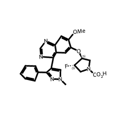 COc1cc2ncnc(-c3cn(C)nc3-c3ccccc3)c2cc1O[C@H]1CN(C(=O)O)C[C@@H]1F